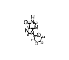 O=c1[nH]cnc2c1ncn2C1CCCCO1